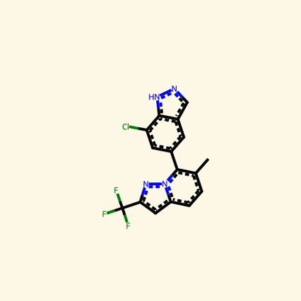 Cc1ccc2cc(C(F)(F)F)nn2c1-c1cc(Cl)c2[nH]ncc2c1